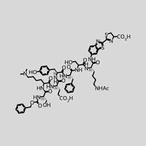 CC(=O)NCCCC[C@H](NC(=O)C(CO)NC(=O)[C@H](Cc1ccccc1)NC(=O)[C@H](Cc1ccc(O)cc1)NC(=O)[C@H](CCC(=O)O)NC(=O)C(CCCCN(C)C)NC(=O)[C@H](CO)NC(=O)OCc1ccccc1)C(=O)Nc1ccc2nc(C3=NC(C(=O)O)CS3)sc2c1